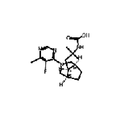 Cc1ncnc(N2C[C@H]3CC[C@@H](C2)[C@H]3CC(C)(C)NC(=O)O)c1F